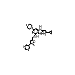 CN1OC(CNc2nc(Nc3cc(C4CC4)n[nH]3)cc(N3CCOCC3)n2)=CC1c1cncnc1